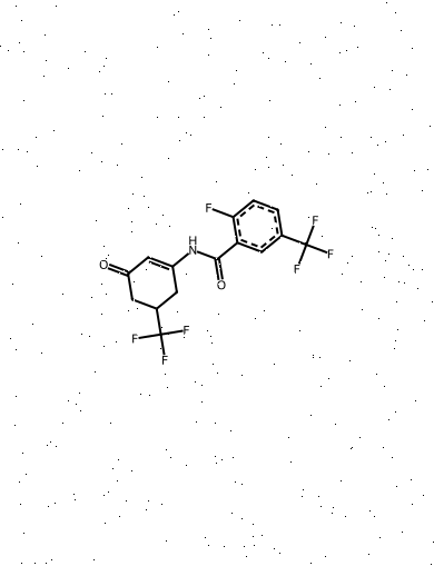 O=C1C=C(NC(=O)c2cc(C(F)(F)F)ccc2F)CC(C(F)(F)F)C1